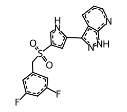 O=S(=O)(Cc1cc(F)cc(F)c1)c1c[nH]c(-c2n[nH]c3ncccc23)c1